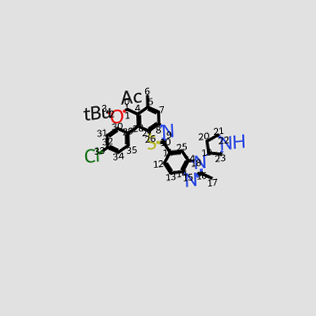 CC(=O)[C@@H](OC(C)(C)C)c1c(C)cc2nc(-c3ccc4nc(C)n([C@@H]5CCNC5)c4c3)sc2c1-c1ccc(Cl)cc1